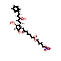 O=C(CCC/C=C/C[C@@H]1[C@@H](CC[C@@H](O)CCc2ccccc2)[C@H](O)C[C@@H]1O)OCCCCO[N+](=O)[O-]